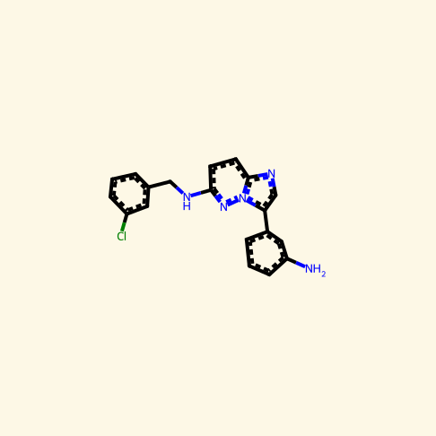 Nc1cccc(-c2cnc3ccc(NCc4cccc(Cl)c4)nn23)c1